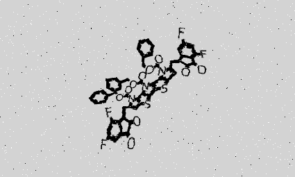 O=C1C(=O)c2c(F)cc(F)cc2/C1=C/c1cc2sc3c4sc5cc(/C=C6\C(=O)C(=O)c7cc(F)cc(F)c76)n(C(=O)OCc6ccccc6)c5c4n(C(=O)OCc4ccccc4)c3c2n1C(=O)OCc1ccccc1